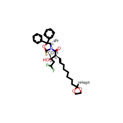 CCCCCCCC1(CCCCCCC=C[C@H](C(=O)N2C(=S)OC(c3ccccc3)(c3ccccc3)[C@@H]2C(C)C)[C@@](O)(CC(F)F)C(=O)O)OCCO1